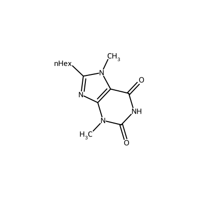 CCCCCCc1nc2c(c(=O)[nH]c(=O)n2C)n1C